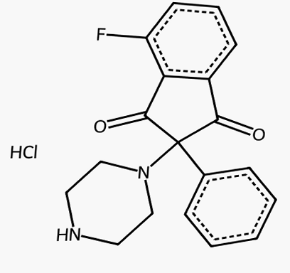 Cl.O=C1c2cccc(F)c2C(=O)C1(c1ccccc1)N1CCNCC1